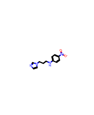 O=[N+]([O-])c1ccc(NCCCn2ccnc2)cc1